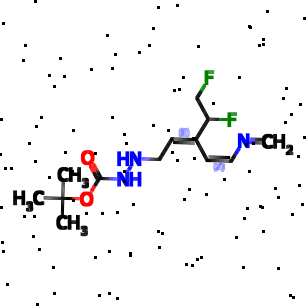 C=N/C=C\C(=C/CNNC(=O)OC(C)(C)C)C(F)CF